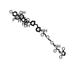 C[C@]12C=CC(=O)C=C1[C@@H](F)C[C@H]1[C@@H]3C[C@H]4OC(c5ccc(Cc6cccc(NC(=O)CCOCCOCCNC(=O)CCN7C(=O)C=CC7=O)c6)cc5)O[C@@]4(C(=O)CO)[C@@]3(C)C[C@H](O)[C@@]12F